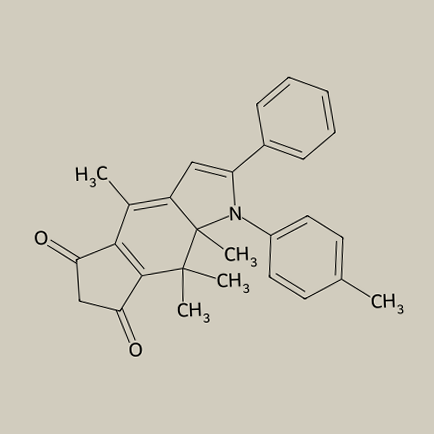 CC1=C2C=C(c3ccccc3)N(c3ccc(C)cc3)C2(C)C(C)(C)C2=C1C(=O)CC2=O